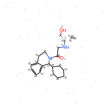 CC[C@H](C)[C@@H](CO)NCC(=O)N1CCc2ccccc2C1C1CCCCC1